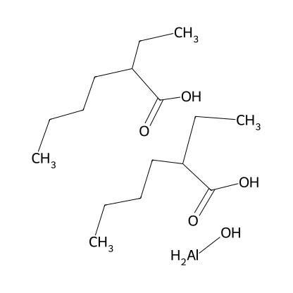 CCCCC(CC)C(=O)O.CCCCC(CC)C(=O)O.[OH][AlH2]